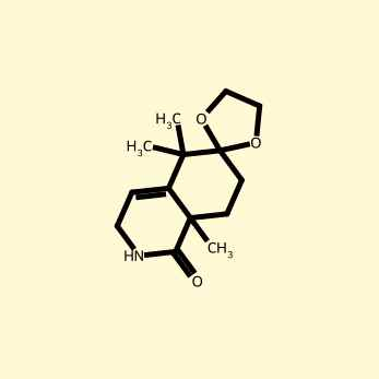 CC12CCC3(OCCO3)C(C)(C)C1=CCNC2=O